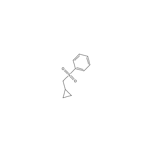 O=S(=O)(CC1CC1)c1ccccc1